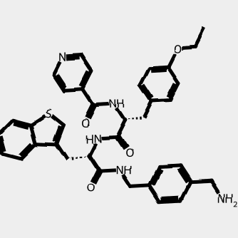 CCOc1ccc(C[C@@H](NC(=O)c2ccncc2)C(=O)N[C@@H](Cc2csc3ccccc23)C(=O)NCc2ccc(CN)cc2)cc1